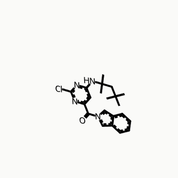 CC(C)(C)CC(C)(C)Nc1cc(C(=O)n2cc3ccccc3c2)nc(Cl)n1